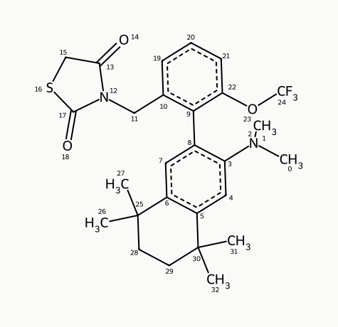 CN(C)c1cc2c(cc1-c1c(CN3C(=O)CSC3=O)cccc1OC(F)(F)F)C(C)(C)CCC2(C)C